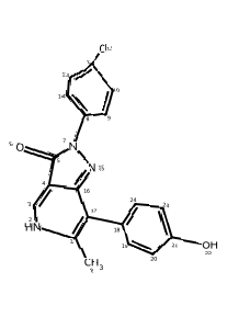 Cc1[nH]cc2c(=O)n(-c3ccc(Cl)cc3)nc-2c1-c1ccc(O)cc1